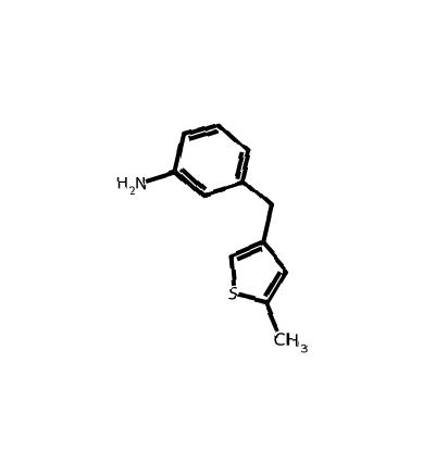 Cc1cc(Cc2cccc(N)c2)cs1